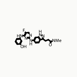 CNC(=O)CCc1n[nH]c2cc(Nc3ncc(F)c(Nc4cccc(O)c4)n3)ccc12